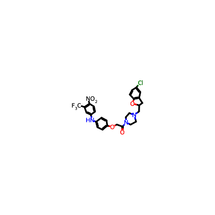 O=C(COc1ccc(Nc2ccc([N+](=O)[O-])c(C(F)(F)F)c2)cc1)N1CCN(CC2Cc3cc(Cl)ccc3O2)CC1